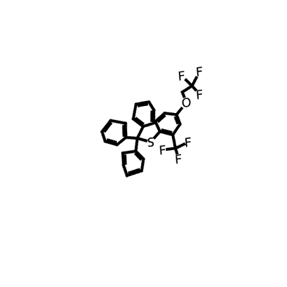 FC(F)(F)COc1ccc(SC(c2ccccc2)(c2ccccc2)c2ccccc2)c(C(F)(F)F)c1